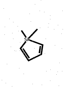 C[Si]1(C)C=CC=C1